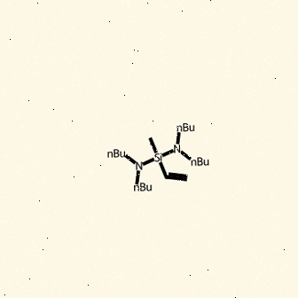 C=C[Si](C)(N(CCCC)CCCC)N(CCCC)CCCC